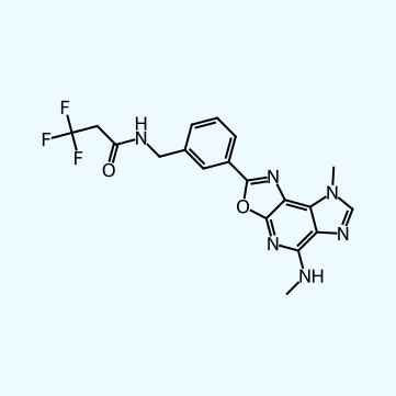 CNc1nc2oc(-c3cccc(CNC(=O)CC(F)(F)F)c3)nc2c2c1ncn2C